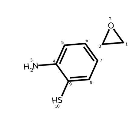 C1CO1.Nc1ccccc1S